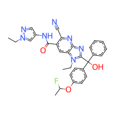 CCn1cc(NC(=O)c2cc3c(nc2C#N)nc(C(O)(c2ccccc2)c2ccc(OC(C)F)cc2)n3CC)cn1